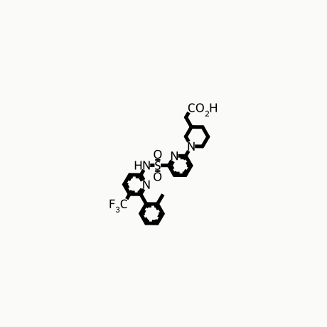 Cc1ccccc1-c1nc(NS(=O)(=O)c2cccc(N3CCCC(CC(=O)O)C3)n2)ccc1C(F)(F)F